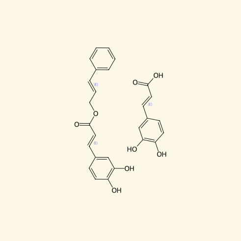 O=C(/C=C/c1ccc(O)c(O)c1)OC/C=C/c1ccccc1.O=C(O)/C=C/c1ccc(O)c(O)c1